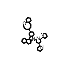 c1ccc(-c2cc(-c3ccccn3)nc(-n3c4ccc(-c5cccoc6ccccc6cc5)cc4c4c5ccccc5ccc43)c2)nc1